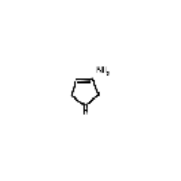 C1=CCNC1.N